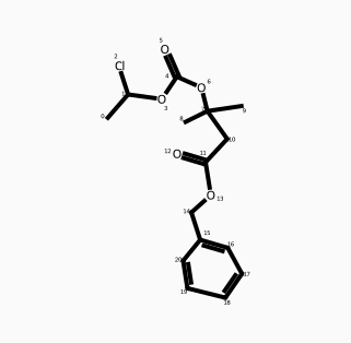 CC(Cl)OC(=O)OC(C)(C)CC(=O)OCc1ccccc1